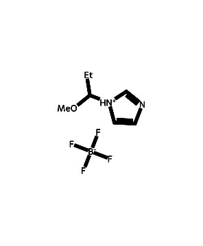 CCC(OC)[NH+]1C=CN=C1.F[B-](F)(F)F